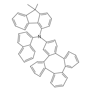 CC1(C)c2ccccc2-c2c(N(c3ccc4c(c3)-c3ccccc3-c3ccccc3-c3ccccc3-4)c3cccc4ccccc34)cccc21